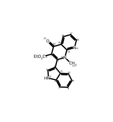 CCOC(=O)c1c(-c2c[nH]c3ccccc23)n(C)c2ncccc2c1=O